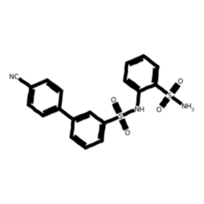 N#Cc1ccc(-c2cccc(S(=O)(=O)Nc3ccccc3S(N)(=O)=O)c2)cc1